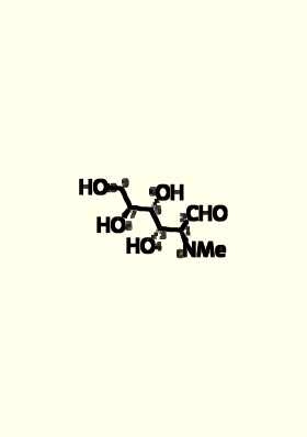 CN[C@H](C=O)[C@H](O)[C@@H](O)[C@@H](O)CO